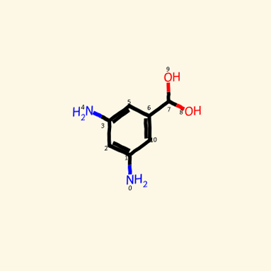 Nc1cc(N)cc(C(O)O)c1